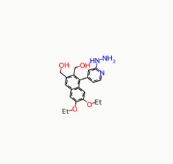 CCOc1cc2cc(CO)c(CO)c(-c3ccnc(NN)c3)c2cc1OCC